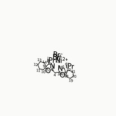 CC(C)[C@H]1N=C(CC2=N[C@H](C(C)C)C3(CCCCC3)O2)OC12CCCCC2.[Br-].[Br-].[Ni+2]